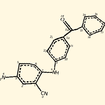 N#Cc1cc([N+](=O)[O-])ccc1Nc1ccc(C(=O)c2ccccc2)cc1